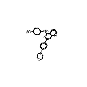 O[C@H]1CC[C@@H](Nc2nc(-c3ccc(N4CCOCC4)cc3)cc3ncccc23)CC1